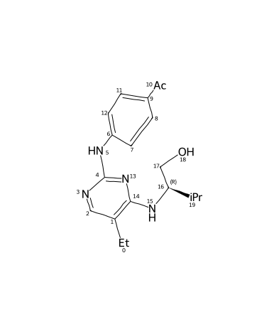 CCc1cnc(Nc2ccc(C(C)=O)cc2)nc1N[C@@H](CO)C(C)C